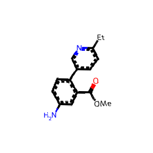 CCc1ccc(-c2ccc(N)cc2C(=O)OC)cn1